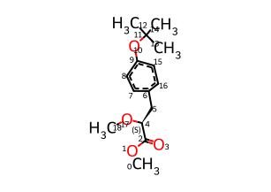 COC(=O)[C@H](Cc1ccc(OC(C)(C)C)cc1)OC